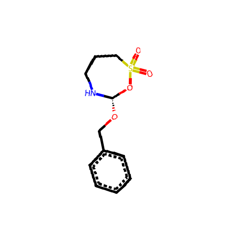 O=S1(=O)CCCN[C@@H](OCc2ccccc2)O1